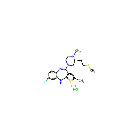 CSCC[C@H]1CN(C2=Nc3ccc(F)cc3Nc3sc(C)cc32)CCN1C.Cl.Cl